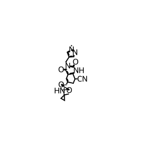 Cn1cc(Cn2c(=O)[nH]c3c(c2=O)C=C(S(=O)(=O)NC2(C)CC2)CC3C#N)cn1